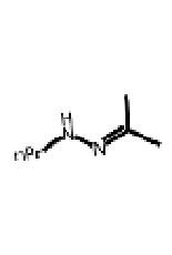 CCCNN=C(C)C